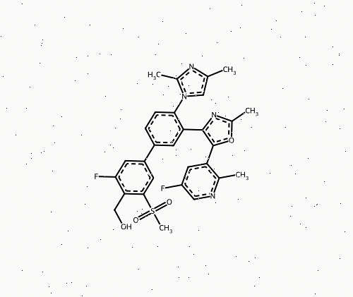 Cc1cn(-c2ccc(-c3cc(F)c(CO)c(S(C)(=O)=O)c3)cc2-c2nc(C)oc2-c2cc(F)cnc2C)c(C)n1